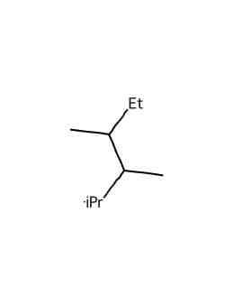 CCC(C)C(C)[C](C)C